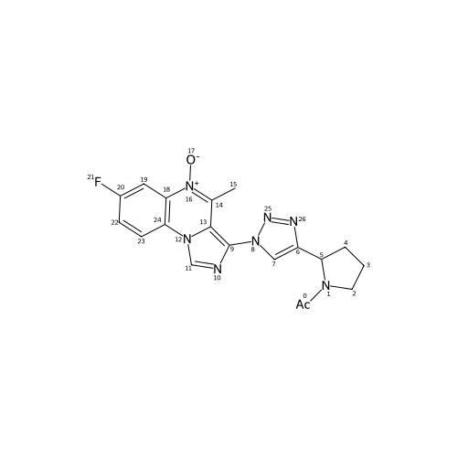 CC(=O)N1CCCC1c1cn(-c2ncn3c2c(C)[n+]([O-])c2cc(F)ccc23)nn1